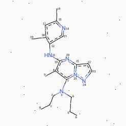 CCCN(CCC)c1c(C)c(Nc2cnc(C)cc2C)nc2ccnn12